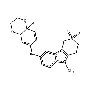 Cn1c2c(c3cc(NC4=CC5OCCOC5(I)C=C4)ccc31)CS(=O)(=O)CC2